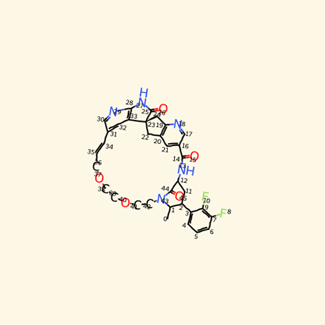 CC1C(c2cccc(F)c2F)CC2NC(=O)c3cnc4c(c3)C[C@@]3(C4)C(=O)Nc4ncc(cc43)/C=C/COCCOCCN1C2=O